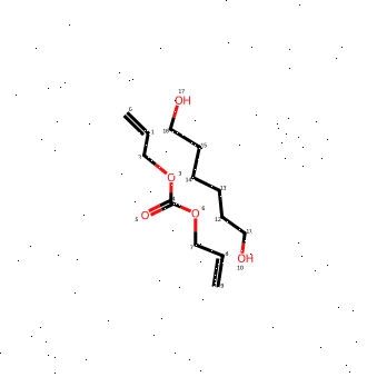 C=CCOC(=O)OCC=C.OCCCCCCO